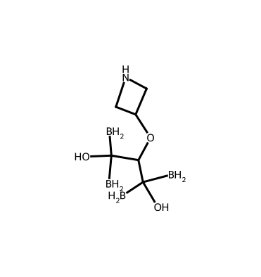 BC(B)(O)C(OC1CNC1)C(B)(B)O